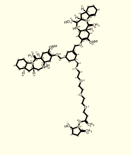 C=C(CCOCCOCCOCCSC[C@@H]1C=C(COC2=C(OC)C[C@H]3C(=C)N4C5=CCCC[C@H]5C[C@H]4C(S(=O)(=O)O)NC3C2)C[C@H](COC2=C(OC)C[C@@H]3C(=C)N4C5CCCC[C@@H]5C[C@H]4CN[C@@H]3C2)C1)ON1C(=C)CCC1O